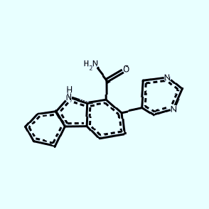 NC(=O)c1c(-c2cncnc2)ccc2c1[nH]c1ccccc12